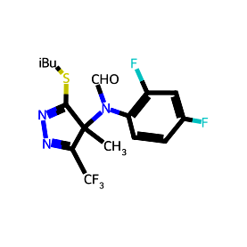 CCC(C)SC1=NN=C(C(F)(F)F)C1(C)N(C=O)c1ccc(F)cc1F